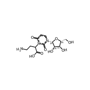 NCCC(C(=O)O)n1c(=O)ccn([C@@H]2O[C@H](CO)[C@@H](O)[C@H]2O)c1=O